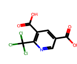 O=C(O)c1cnc(C(Cl)(Cl)Cl)c(C(=O)O)c1